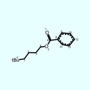 CC(C)(C)CCCCOC(=O)c1ccccc1